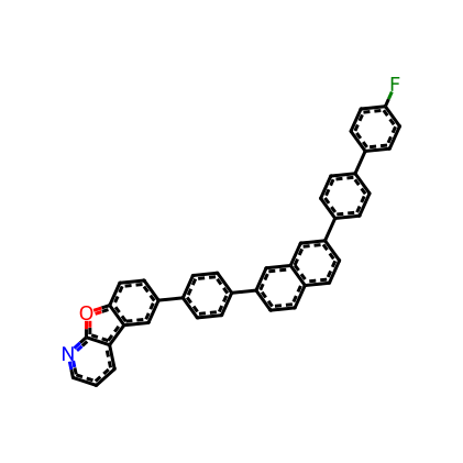 Fc1ccc(-c2ccc(-c3ccc4ccc(-c5ccc(-c6ccc7oc8ncccc8c7c6)cc5)cc4c3)cc2)cc1